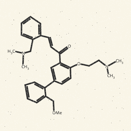 COCc1ccccc1-c1ccc(OCCN(C)C)c(C(=O)C=Cc2ccccc2CN(C)C)c1